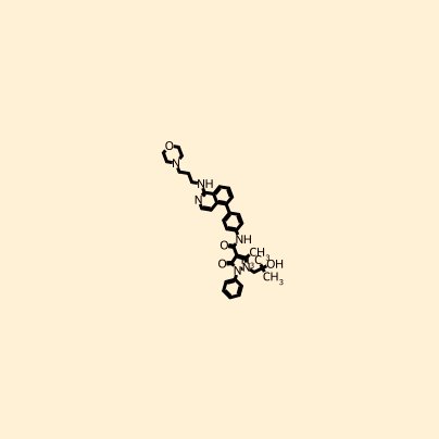 Cc1c(C(=O)Nc2ccc(-c3cccc4c(NCCCN5CCOCC5)nccc34)cc2)c(=O)n(-c2ccccc2)n1CC(C)(C)O